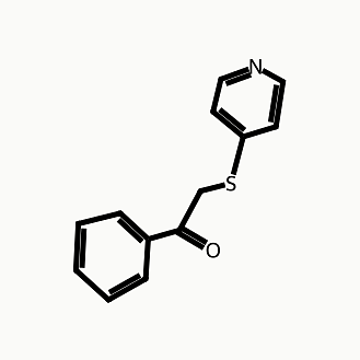 O=C(CSc1ccncc1)c1ccccc1